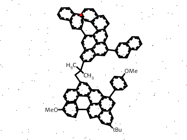 COc1ccc(-c2cc3cc(C(C)(C)C)cc4cc(-c5ccc(OC)cc5)c5c6c(cc(CC(C)(C)c7cc8cc(-c9ccc%10ccccc%10c9)c9cc%10ccc%11ccccc%11c%10c%10c(-c%11ccc%12ccccc%12c%11)cc(c7)c8c9%10)c7ccccc76)cc2c5c34)cc1